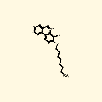 CCCCCCCCOc1ccc2c(ncc3ccccc32)c1F